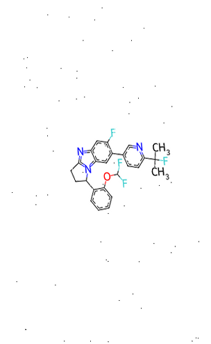 CC(C)(F)c1ccc(-c2cc3c(cc2F)nc2n3C(c3ccccc3OC(F)F)CC2)cn1